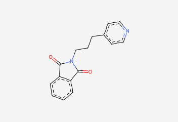 O=C1c2ccccc2C(=O)N1CCCc1ccncc1